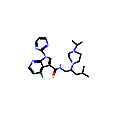 CC(C)CC(CNC(=O)c1cn(-c2ncccn2)c2nccc(Cl)c12)N1CCN(C(C)C)CC1